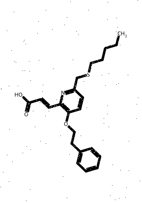 CCCCCSCc1ccc(OCCc2ccccc2)c(/C=C/C(=O)O)n1